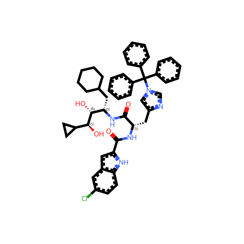 O=C(N[C@@H](Cc1cn(C(c2ccccc2)(c2ccccc2)c2ccccc2)cn1)C(=O)N[C@@H](CC1CCCCC1)[C@@H](O)[C@@H](O)C1CC1)c1cc2cc(Cl)ccc2[nH]1